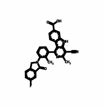 Cc1nc(-c2cccc(N3Cc4ccc(F)cc4C3=O)c2C)c2c([nH]c3cc(C(=O)O)ccc32)c1C#N